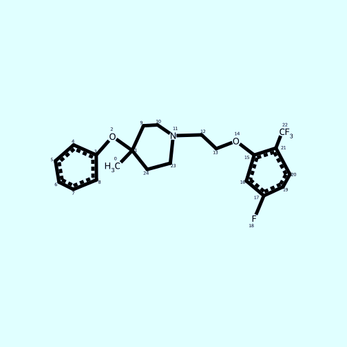 CC1(Oc2ccccc2)CCN(CCOc2cc(F)ccc2C(F)(F)F)CC1